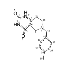 O=c1[nH]c2c(c(=O)[nH]1)CN(Cc1ccc(I)cc1)CC2